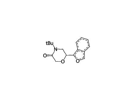 CC(C)(C)N1CC(c2occ3ccccc23)OCC1=O